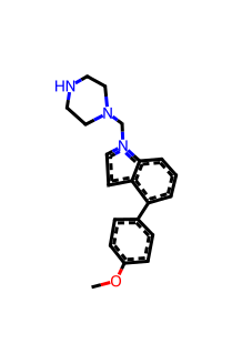 COc1ccc(-c2cccc3c2ccn3CN2CCNCC2)cc1